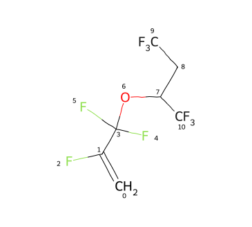 C=C(F)C(F)(F)OC(CC(F)(F)F)C(F)(F)F